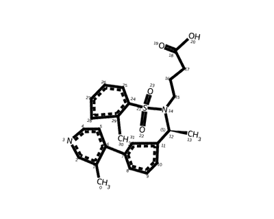 Cc1cnccc1-c1cccc([C@H](C)N(CCCC(=O)O)S(=O)(=O)c2ccccc2C)c1